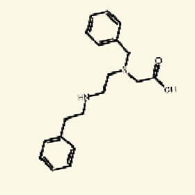 O=C(O)CN(CCNCCc1ccccc1)Cc1ccccc1